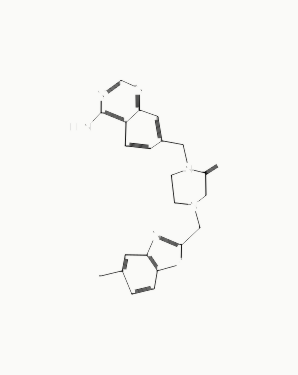 Nc1ncnc2cc(CN3CCN(Cc4nc5cc(Cl)ccc5s4)CC3=O)ccc12